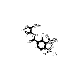 COc1nonc1NC(=O)c1ccc(S(C)(=O)=O)c(S(C)(=O)=O)c1C